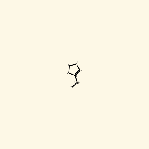 CNC1=COCC1